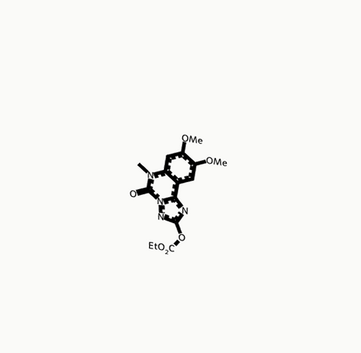 CCOC(=O)Oc1nc2c3cc(OC)c(OC)cc3n(C)c(=O)n2n1